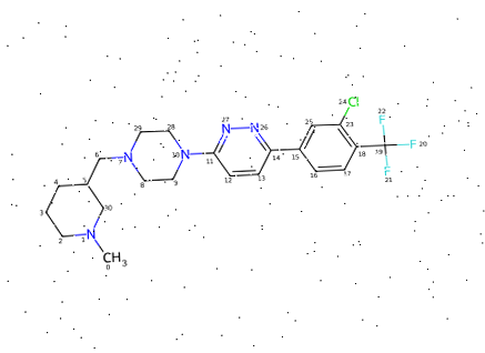 CN1CCCC(CN2CCN(c3ccc(-c4ccc(C(F)(F)F)c(Cl)c4)nn3)CC2)C1